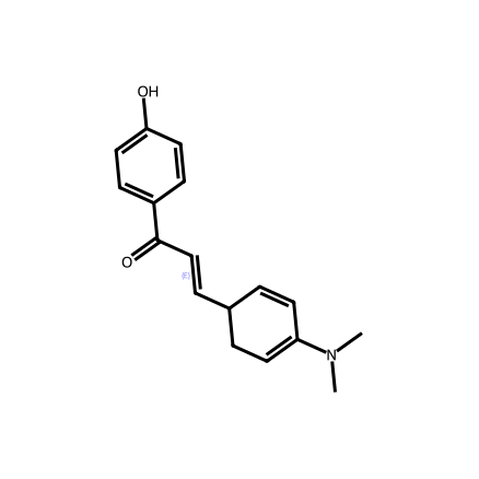 CN(C)C1=CCC(/C=C/C(=O)c2ccc(O)cc2)C=C1